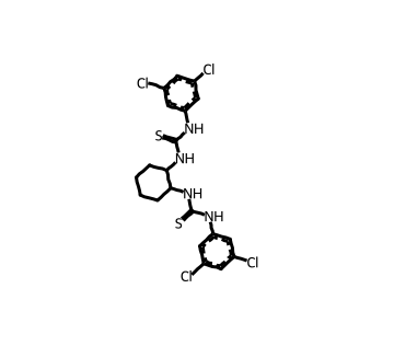 S=C(Nc1cc(Cl)cc(Cl)c1)NC1CCCCC1NC(=S)Nc1cc(Cl)cc(Cl)c1